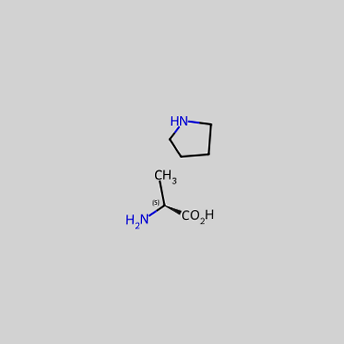 C1CCNC1.C[C@H](N)C(=O)O